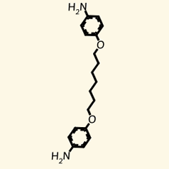 Nc1ccc(OCCCCCCCOc2ccc(N)cc2)cc1